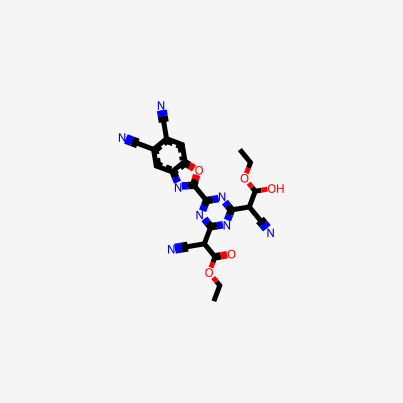 CCOC(=O)C(C#N)c1nc(-c2nc3cc(C#N)c(C#N)cc3o2)nc(C(C#N)C(O)OCC)n1